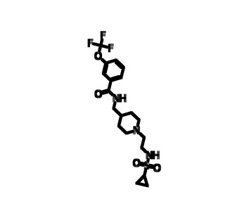 O=C(NCC1CCN(CCNS(=O)(=O)C2CC2)CC1)c1cccc(OC(F)(F)F)c1